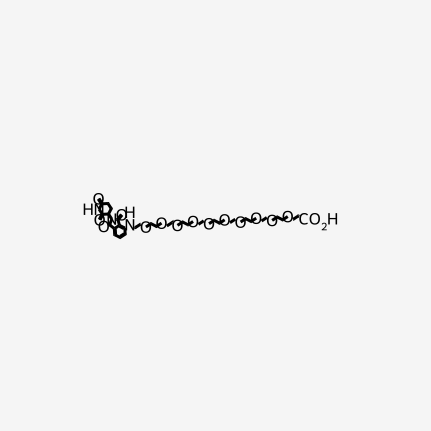 O=C(O)CCOCCOCCOCCOCCOCCOCCOCCOCCOCCOCCNc1cccc2c1C(=O)N(C1CCC(=O)NC1=O)C2=O